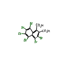 O=C(O)c1c(Br)c(Br)c2c(Br)c(Br)c(Br)c(Br)c2c1C(=O)O